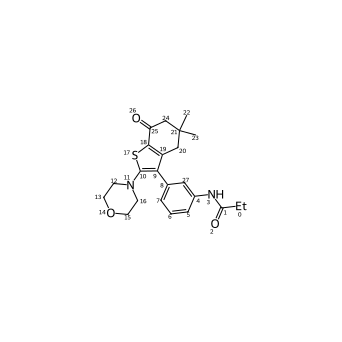 CCC(=O)Nc1cccc(-c2c(N3CCOCC3)sc3c2CC(C)(C)CC3=O)c1